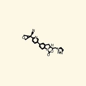 N#CC1(c2ccc(-c3ccc4c(c3)C[C@H]3C(Cn5ccnn5)OC(=O)N43)cn2)C2COCC21